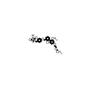 CCOCCOc1ccc(-c2cccc(COc3ccc(Cn4oc(=O)[nH]c4=O)cc3)c2C)c(C)c1